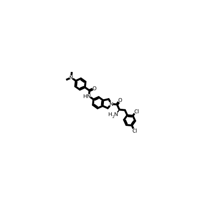 CN(C)c1ccc(C(=O)Nc2ccc3c(c2)CN(C(=O)[C@H](N)Cc2ccc(Cl)cc2Cl)C3)cc1